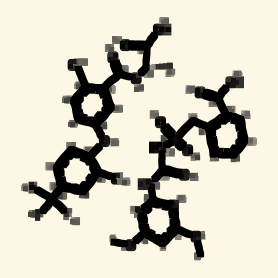 COc1cc(OC)nc(NC(=O)NS(=O)(=O)Cc2ccccc2C(=O)O)n1.C[C@H](OC(=O)c1cc(Oc2ccc(C(F)(F)F)cc2Cl)ccc1Cl)C(=O)O